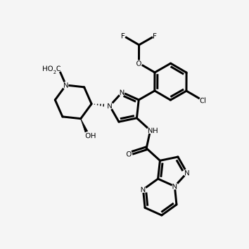 O=C(Nc1cn([C@H]2CN(C(=O)O)CC[C@@H]2O)nc1-c1cc(Cl)ccc1OC(F)F)c1cnn2cccnc12